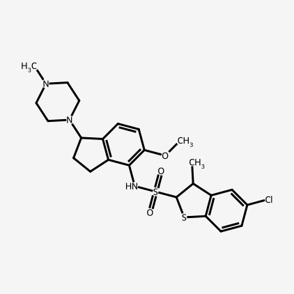 COc1ccc2c(c1NS(=O)(=O)C1Sc3ccc(Cl)cc3C1C)CCC2N1CCN(C)CC1